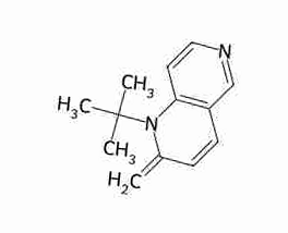 C=C1C=Cc2cnccc2N1C(C)(C)C